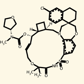 CN(C(=O)O[C@H]1/C=C/COC(C)(C)C(=O)NS(=O)(=O)c2ccc3c(c2)N(C[C@@H]2CC[C@H]21)C[C@@]1(CCCc2cc(Cl)ccc21)CO3)[C@@H]1CCOC1